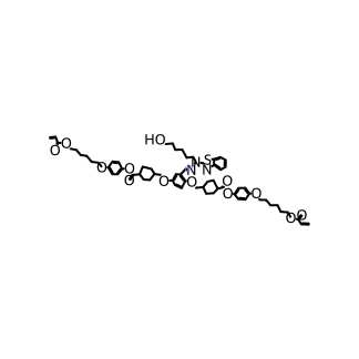 C=CC(=O)OCCCCCCOc1ccc(OC(=O)C2CCC(COc3ccc(OCC4CCC(C(=O)Oc5ccc(OCCCCCCOC(=O)C=C)cc5)CC4)c(/C=N/N(CCCCCCO)c4nc5ccccc5s4)c3)CC2)cc1